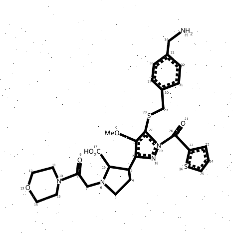 COc1c(C2CCN(CC(=O)N3CCOCC3)C2C(=O)O)nn(C(=O)c2cccs2)c1SCc1ccc(CN)cc1